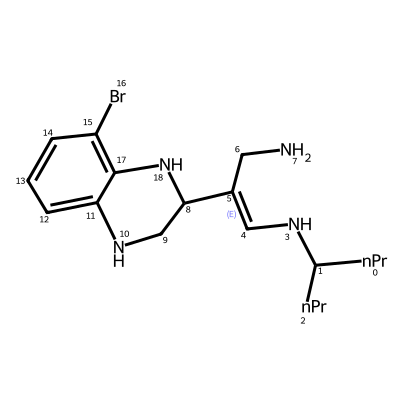 CCCC(CCC)N/C=C(\CN)C1CNc2cccc(Br)c2N1